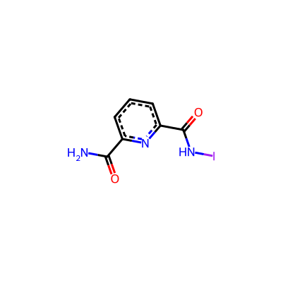 NC(=O)c1cccc(C(=O)NI)n1